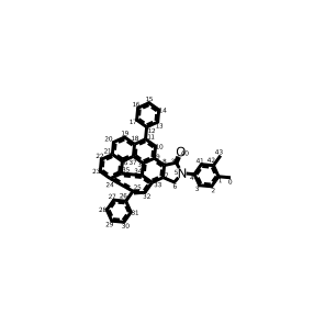 Cc1ccc(N2Cc3c(c4cc(-c5ccccc5)c5ccc6ccc7c(-c8ccccc8)cc3c3c7c6c5c43)C2=O)cc1C